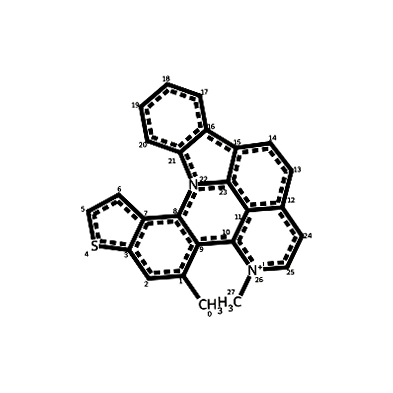 Cc1cc2sccc2c2c1c1c3c(ccc4c5ccccc5n2c43)cc[n+]1C